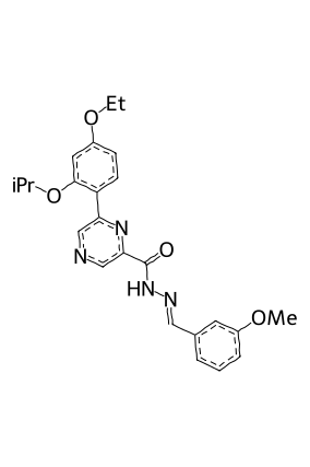 CCOc1ccc(-c2cncc(C(=O)NN=Cc3cccc(OC)c3)n2)c(OC(C)C)c1